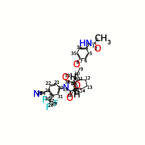 CC(=O)Nc1ccc(OCCC23CCC(O2)[C@@H]2C(=O)N(c4ccc(C#N)c(C(F)(F)F)c4)C(=O)[C@@H]23)cc1